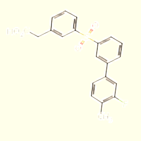 Cc1ccc(-c2cccc(S(=O)(=O)c3cccc(CC(=O)O)c3)c2)cc1F